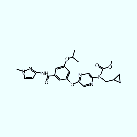 COC(=O)N(CC1CC1)c1cnc(Oc2cc(OC(C)C)cc(C(=O)Nc3ccn(C)n3)c2)cn1